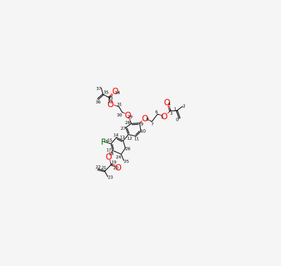 C=C(C)C(=O)OCCOc1ccc(C2=CC(F)=C(OC(=O)C(=C)C)C(C)C2)cc1OCCOC(=O)C(=C)C